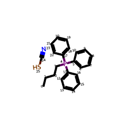 CCCC[P](c1ccccc1)(c1ccccc1)c1ccccc1.N#CS